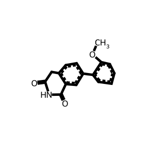 COc1ccccc1-c1ccc2c(c1)C(=O)NC(=O)C2